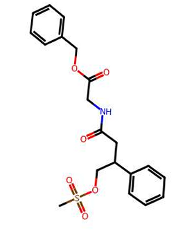 CS(=O)(=O)OCC(CC(=O)NCC(=O)OCc1ccccc1)c1ccccc1